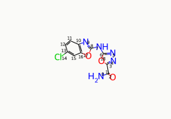 NC(=O)c1nnc(Nc2nc3ccc(Cl)cc3o2)o1